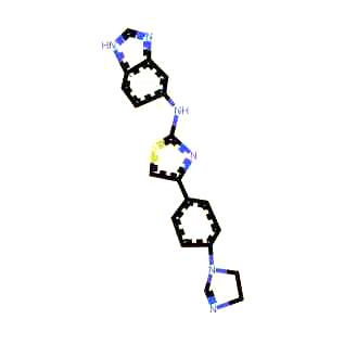 C1=NCCN1c1ccc(-c2csc(Nc3ccc4[nH]cnc4c3)n2)cc1